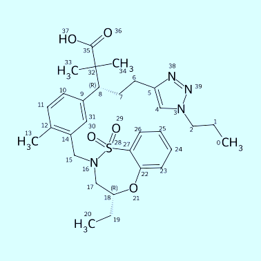 CCCn1cc(CC[C@H](c2ccc(C)c(CN3C[C@@H](CC)Oc4ccccc4S3(=O)=O)c2)C(C)(C)C(=O)O)nn1